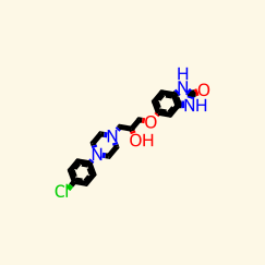 O=c1[nH]c2ccc(OCC(O)CN3CCN(c4ccc(Cl)cc4)CC3)cc2[nH]1